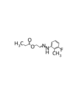 CCC(=O)OCC=NNc1cccc(F)c1C